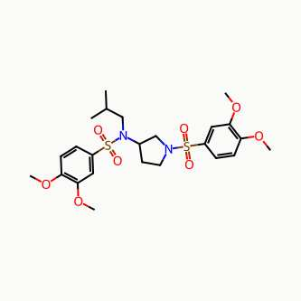 COc1ccc(S(=O)(=O)N2CCC(N(CC(C)C)S(=O)(=O)c3ccc(OC)c(OC)c3)C2)cc1OC